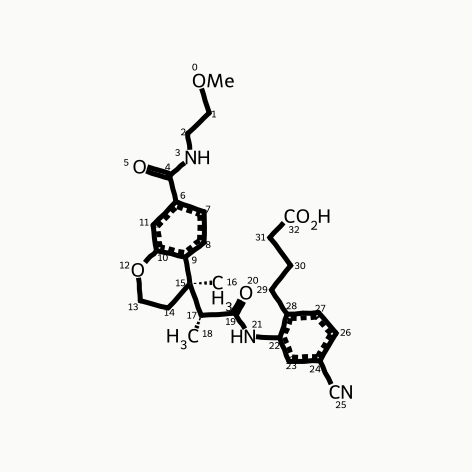 COCCNC(=O)c1ccc2c(c1)OCC[C@]2(C)[C@@H](C)C(=O)Nc1cc(C#N)ccc1CCCC(=O)O